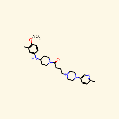 Cc1ccc(N2CCN(CCCC(=O)N3CCC(Nc4ccc(O[N+](=O)[O-])c(C)c4)CC3)CC2)cn1